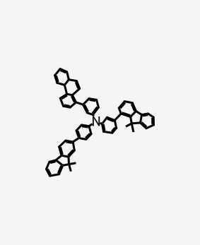 CC1(C)c2ccccc2-c2ccc(-c3ccc(N(c4cccc(-c5cccc6c5C=CC5C=CC=CC65)c4)c4cccc(-c5cccc6c5C(C)(C)c5ccccc5-6)c4)cc3)cc21